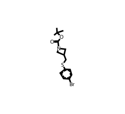 CC(C)(C)OC(=O)N1CC(CSc2ccc(Br)cc2)C1